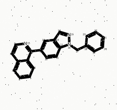 [c]1cc2ccccc2c(-c2ccc3c(cnn3Cc3ccccc3)c2)n1